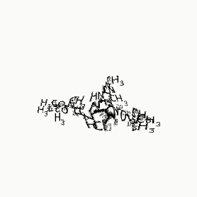 Cc1nn(C)cc1Nc1nc(N[C@H]2C[C@H](N(C)C(=O)OC(C)(C)C)C2)c2c(Cl)cn(COCC[Si](C)(C)C)c2n1